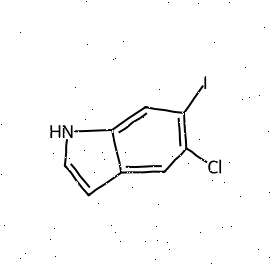 Clc1cc2cc[nH]c2cc1I